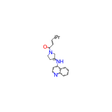 CC(C)C=CC(=O)N1CC[C@H](Nc2ccnc3ccccc23)C1